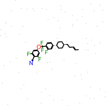 CC=CCC[C@H]1CC[C@H](c2ccc(C(F)(F)Oc3cc(F)c(C#N)c(F)c3)c(F)c2)CC1